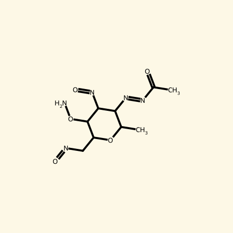 CC(=O)N=NC1C(C)OC(CN=O)C(ON)C1N=O